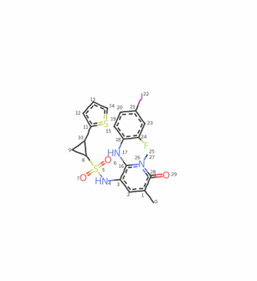 Cc1cc(NS(=O)(=O)C2CC2c2cccs2)c(Nc2ccc(I)cc2F)n(C)c1=O